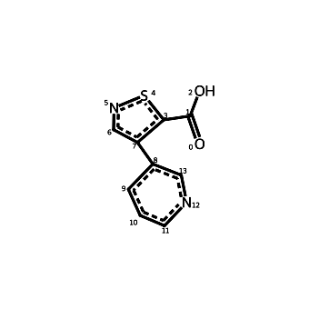 O=C(O)c1sncc1-c1cccnc1